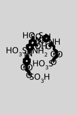 Nc1c(/N=N/c2ccc(S(=O)(=O)CCOS(=O)(=O)O)cc2)c(S(=O)(=O)O)cc2cc(S(=O)(=O)O)c(/N=N/c3cc(NC(=O)CCCS(=O)(=O)CCOS(=O)(=O)O)ccc3S(=O)(=O)O)c(O)c12